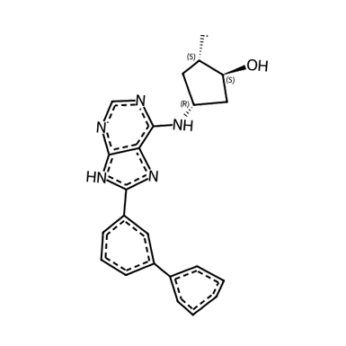 [CH2][C@H]1C[C@@H](Nc2ncnc3[nH]c(-c4cccc(-c5ccccc5)c4)nc23)C[C@@H]1O